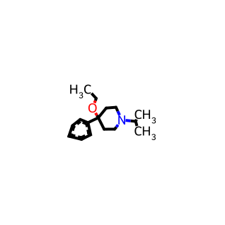 CCOC1(c2ccccc2)CCN(C(C)C)CC1